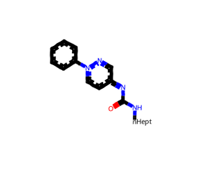 CCCCCCCNC(=O)N=c1ccn(-c2ccccc2)nc1